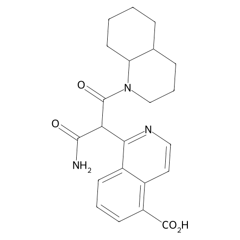 NC(=O)C(C(=O)N1CCCC2CCCCC21)c1nccc2c(C(=O)O)cccc12